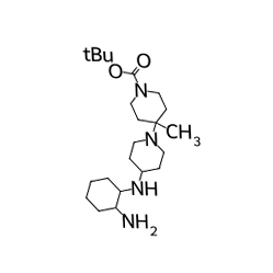 CC(C)(C)OC(=O)N1CCC(C)(N2CCC(NC3CCCCC3N)CC2)CC1